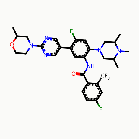 CC1CN(c2ncc(-c3cc(NC(=O)c4ccc(F)cc4C(F)(F)F)c(N4CC(C)N(C)C(C)C4)cc3F)cn2)CCO1